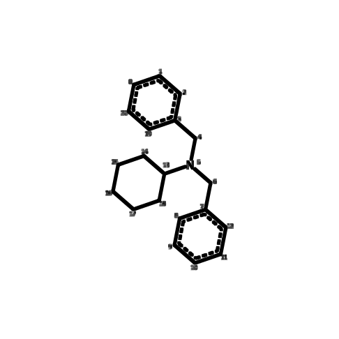 c1ccc(CN(Cc2ccccc2)C2CCCCC2)cc1